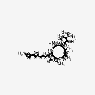 CCO[C@@H](O[C@@H]1[C@@H](C)C(=O)[C@](C)(F)C(=O)O[C@H](CC)[C@@]2(C)OC(=O)N(CCCCn3cc(-c4cnc(N)s4)nn3)[C@@H]2[C@@H](C)NC[C@H](C)C[C@@]1(C)OC)C(O)C(CC)N(C)C